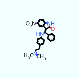 CN(C)CCc1ccc(NC(=C2C(=O)Nc3ccc([N+](=O)[O-])cc32)c2ccccc2)cc1